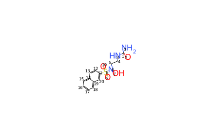 NC(=O)NCCN(O)S(=O)(=O)c1ccc2ccccc2c1